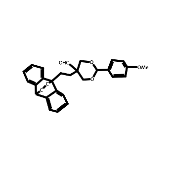 COc1ccc(C2OCC(C=O)(CCC34CCC(c5ccccc53)c3ccccc34)CO2)cc1